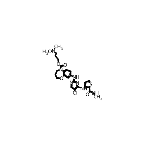 CNC(=O)c1sccc1Nc1nc(Nc2ccc3c(c2)OCCCN3C(=O)OCCCN(C)C)ncc1Cl